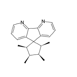 C[C@@H]1[C@H](C)[C@H](C)C2(c3cccnc3-c3ncccc32)[C@@H]1C